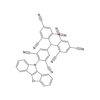 N#Cc1cc(C#N)c(C(c2cc(C#N)c(-n3c4ccccc4c4oc5ccccc5c43)c(C#N)c2)c2c(C#N)cc(C#N)cc2C#N)c(C#N)c1